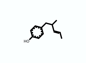 CC=CC(C)Cc1ccc(O)cc1